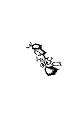 CCN(C)c1ccc2cc(C(=O)NS(=O)(=O)c3ccccc3Cl)oc2c1